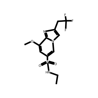 CCNS(=O)(=O)c1cc(OC)c2nc(CC(F)(F)F)cn2c1